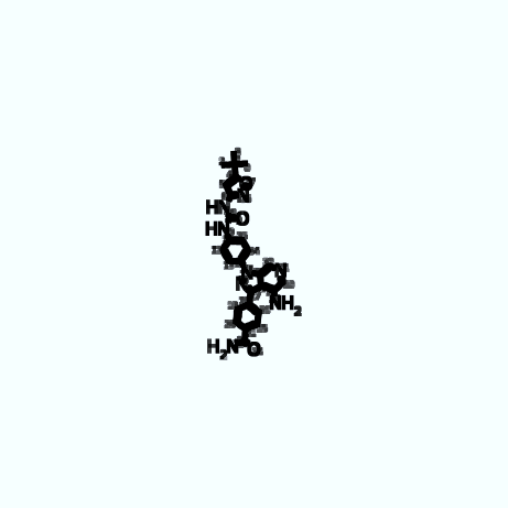 CC(C)(C)c1cc(NC(=O)Nc2ccc(-n3nc(-c4ccc(C(N)=O)cc4)c4c(N)cncc43)cc2)no1